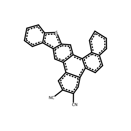 N#Cc1cc2c(cc1C#N)c1ccc3ccccc3c1c1cc3sc4ccccc4c3cc21